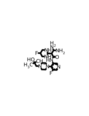 CC(C)(O)CN1CCN(c2c(F)cncc2NC(=O)C(C(N)N)C2NCC(F)CN2)CC1